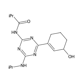 CC(C)Nc1nc(NC(=O)C(C)C)nc(C2=CC(O)CCC2)n1